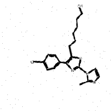 Cc1nccn1-c1nc(-c2ccc(Cl)cc2)c(CCCCCCO)o1